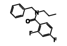 CCCN(Cc1ccccc1)C(=O)c1ccc(F)cc1F